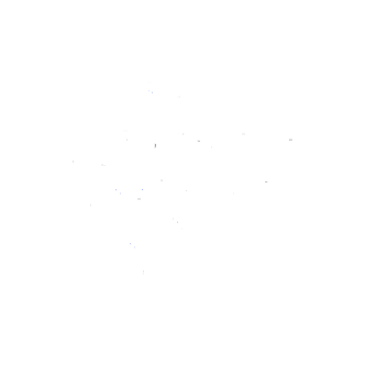 CC(=O)N1CCN(C(C)=O)n2c1nc(-c1ccc(F)cc1)c2-c1ccncc1Cl